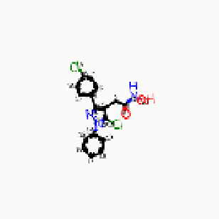 O=C(Cc1c(-c2ccc(Cl)cc2)nn(-c2ccccc2)c1Cl)NO